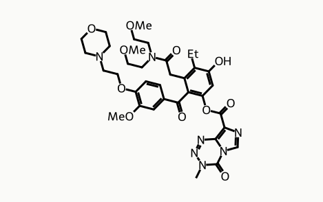 CCc1c(O)cc(OC(=O)c2ncn3c(=O)n(C)nnc23)c(C(=O)c2ccc(OCCN3CCOCC3)c(OC)c2)c1CC(=O)N(CCOC)CCOC